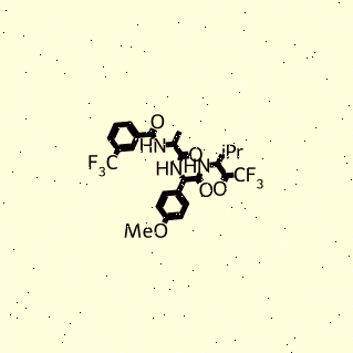 COc1ccc(C(NC(=O)C(C)NC(=O)c2cccc(C(F)(F)F)c2)C(=O)NC(C(=O)C(F)(F)F)C(C)C)cc1